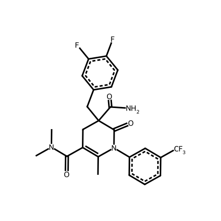 CC1=C(C(=O)N(C)C)CC(Cc2ccc(F)c(F)c2)(C(N)=O)C(=O)N1c1cccc(C(F)(F)F)c1